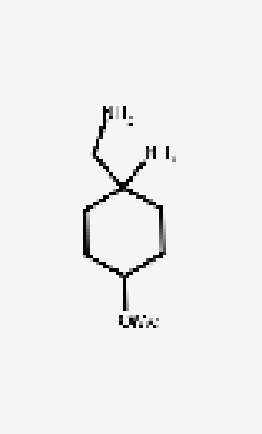 COC1CCC(N)(CN)CC1